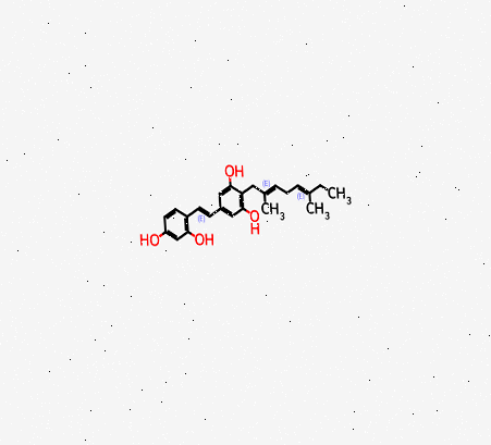 CC/C(C)=C/C/C=C(\C)Cc1c(O)cc(/C=C/c2ccc(O)cc2O)cc1O